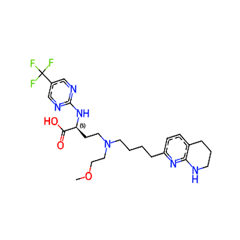 COCCN(CCCCc1ccc2c(n1)NCCC2)CC[C@H](Nc1ncc(C(F)(F)F)cn1)C(=O)O